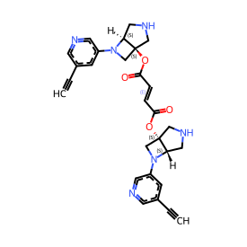 C#Cc1cncc(N2C[C@@]3(OC(=O)/C=C/C(=O)O[C@]45CNC[C@@H]4N(c4cncc(C#C)c4)C5)CNC[C@H]23)c1